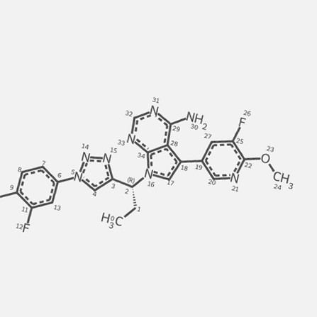 CC[C@H](c1cn(-c2ccc(F)c(F)c2)nn1)n1cc(-c2cnc(OC)c(F)c2)c2c(N)ncnc21